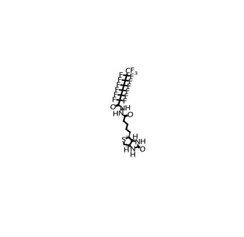 O=C(CCCC[C@@H]1SC[C@@H]2NC(=O)N[C@@H]21)NNC(=O)C(F)(F)C(F)(F)C(F)(F)C(F)(F)C(F)(F)C(F)(F)C(F)(F)F